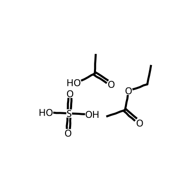 CC(=O)O.CCOC(C)=O.O=S(=O)(O)O